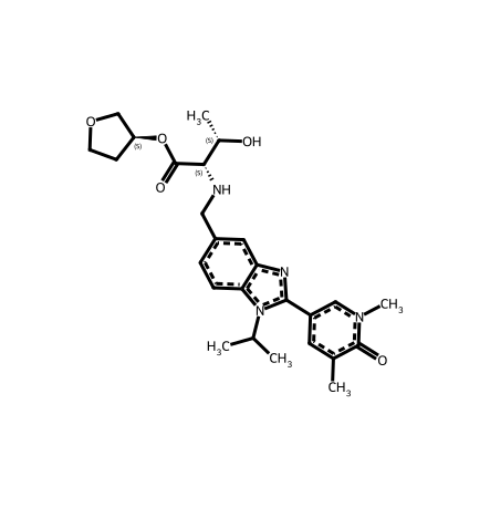 Cc1cc(-c2nc3cc(CN[C@H](C(=O)O[C@H]4CCOC4)[C@H](C)O)ccc3n2C(C)C)cn(C)c1=O